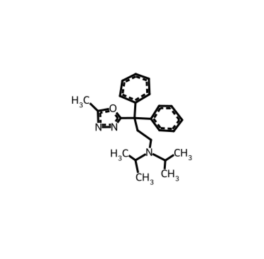 Cc1nnc(C(CCN(C(C)C)C(C)C)(c2ccccc2)c2ccccc2)o1